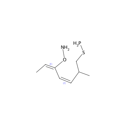 C/C=C(\C=C/C(C)CSP)ON